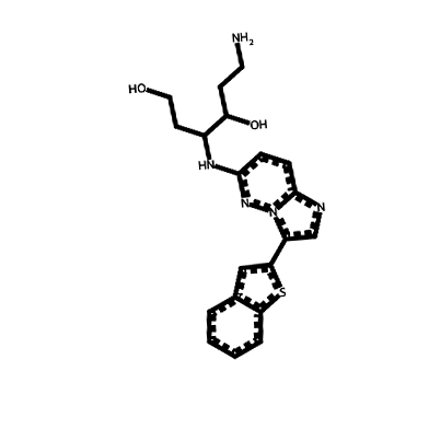 NCCC(O)C(CCO)Nc1ccc2ncc(-c3cc4ccccc4s3)n2n1